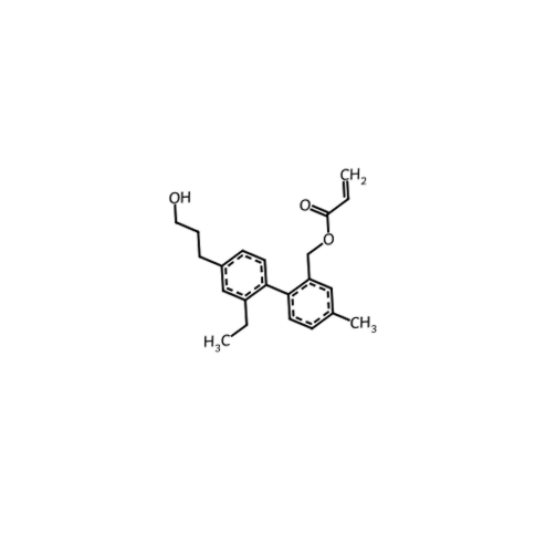 C=CC(=O)OCc1cc(C)ccc1-c1ccc(CCCO)cc1CC